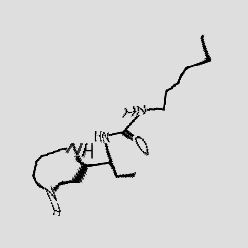 CCCCCCNC(=O)NC(CC)C1CNCCN1